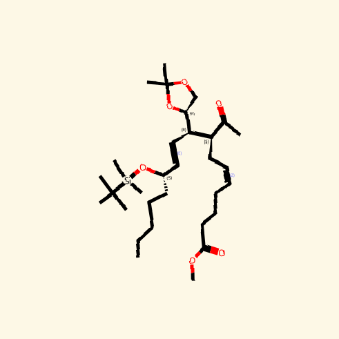 CCCCC[C@@H](/C=C/[C@@H]([C@@H]1COC(C)(C)O1)[C@H](C/C=C\CCCC(=O)OC)C(C)=O)O[Si](C)(C)C(C)(C)C